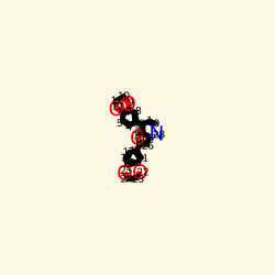 c1cc(-c2ccc3c(c2)OCCO3)c2oc(-c3ccc4c(c3)OCCO4)cc2n1